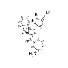 N#Cc1ccc(-c2cc(C(=O)N3CCCCC(N)C3)nn2C2C(F)=CC=CC2(F)C2CC2)cc1F